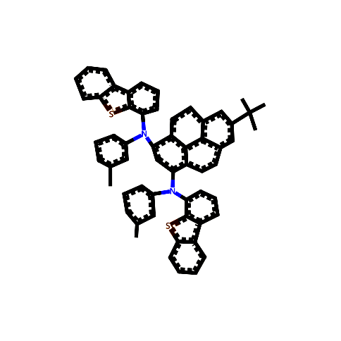 Cc1cccc(N(c2cc(N(c3cccc(C)c3)c3cccc4c3sc3ccccc34)c3ccc4cc(C(C)(C)C)cc5ccc2c3c54)c2cccc3c2sc2ccccc23)c1